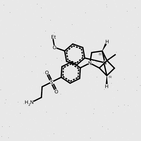 CCOc1ccc(N2C[C@@H]3CC4(C)C3N(c3ccc(S(=O)(=O)CCN)cc3)C[C@@H]24)cc1